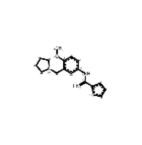 COc1ccc(NC(=N)c2cccs2)cc1CN1CCCC1